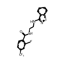 O=C(NCCNc1nsc2ccccc12)c1ccc(C(F)(F)F)cc1F